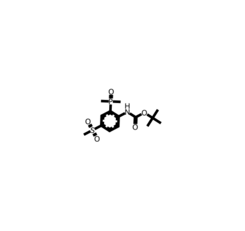 CC(C)(C)OC(=O)Nc1ccc(S(C)(=O)=O)cc1P(C)(C)=O